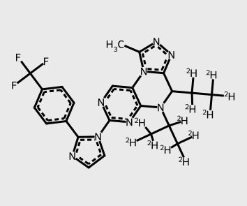 [2H]C([2H])([2H])C([2H])([2H])C1c2nnc(C)n2-c2cnc(-n3ccnc3-c3ccc(C(F)(F)F)cc3)nc2N1C([2H])(C([2H])([2H])[2H])C([2H])([2H])[2H]